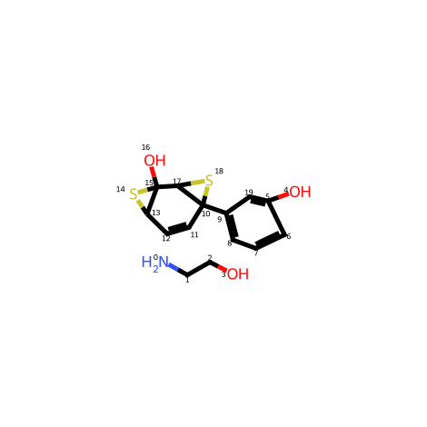 NCCO.Oc1cccc(C23C=CC4SC4(O)C2S3)c1